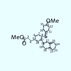 COC(=O)CCc1ccc(Sc2ccc(OC)cc2)c(-c2ccc3ccccc3c2)c1